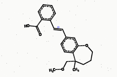 COCC1(C)CCCOc2cc(/C=C/c3ccccc3C(=O)O)ccc21